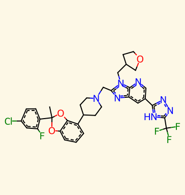 CC1(c2ccc(Cl)cc2F)Oc2cccc(C3CCN(Cc4nc5cc(-c6nnc(C(F)(F)F)[nH]6)cnc5n4CC4CCOC4)CC3)c2O1